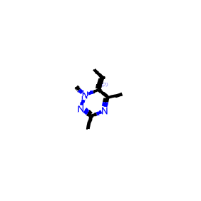 C/C=C1/C(C)=NC(C)=NN1C